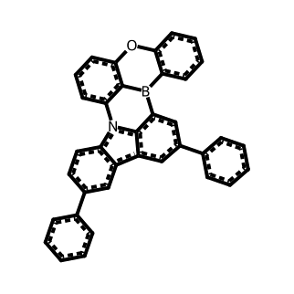 c1ccc(-c2ccc3c(c2)c2cc(-c4ccccc4)cc4c2n3-c2cccc3c2B4c2ccccc2O3)cc1